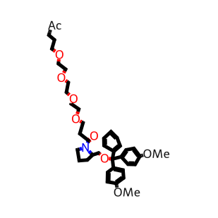 COc1ccc(C(OCC2CCCN2C(=O)CCOCCOCCOCCOCCCC(C)=O)(c2ccccc2)c2ccc(OC)cc2)cc1